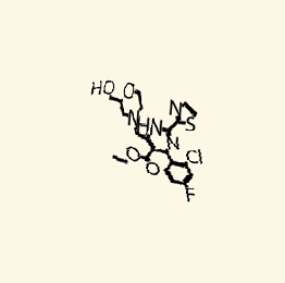 CCOC(=O)C1=C(CN2CCOC(CO)C2)NC(c2nccs2)=NC1c1ccc(F)cc1Cl